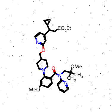 CCOC(=O)CC(c1ccnc(OCC2CCN(c3cc(OC)ccc3C(=O)N(CC(C)(C)OC)c3ccccn3)CC2)c1)C1CC1